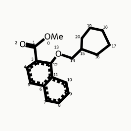 COC(=O)c1ccc2ccccc2c1OCC1CCCCC1